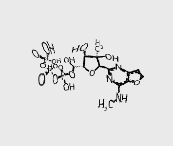 CNc1nc(C2O[C@H](C(O)OP(=O)(O)OP(=O)(O)OP(=O)(O)O)[C@@H](O)[C@@]2(C)O)nc2ccoc12